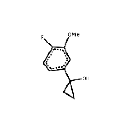 COc1cc(C2(O)CC2)ccc1F